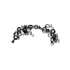 CC(CCNc1cccc2c1C(=O)N(C1CCC(=O)NC1=O)C2=O)CC(C)CCN1CCN(c2ccc(Nc3nc(-c4cccc(-n5ccc6cc(C7CC7)cc(F)c6c5=O)c4CO)cn(C)c3=O)nc2)CC1